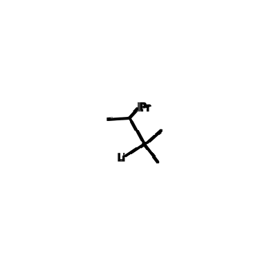 [Li][C](C)(C)C(C)C(C)C